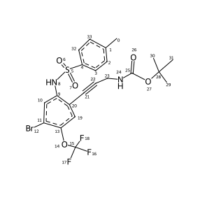 Cc1ccc(S(=O)(=O)Nc2cc(Br)c(OC(F)(F)F)cc2C#CCNC(=O)OC(C)(C)C)cc1